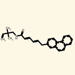 C=CC(C)(C)CNC(=O)/C=C/C=C/Cc1ccc2c(ccc3ccccc32)c1